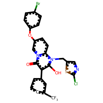 O=c1c(-c2cccc(C(F)(F)F)c2)c(O)[n+](Cc2cnc(Cl)s2)c2ccc(Oc3ccc(Br)cc3)cn12